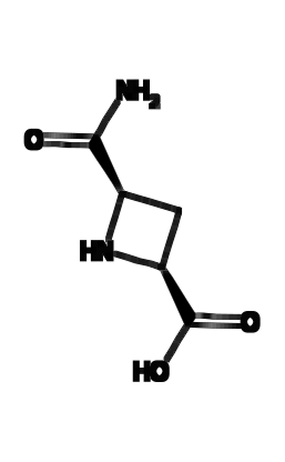 NC(=O)[C@H]1C[C@@H](C(=O)O)N1